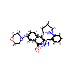 O=c1[nH]c(-c2ccccc2N2CCCC2)cc2ccc(N3CCOCC3)cc12